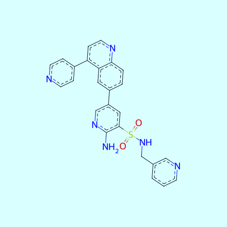 Nc1ncc(-c2ccc3nccc(-c4ccncc4)c3c2)cc1S(=O)(=O)NCc1cccnc1